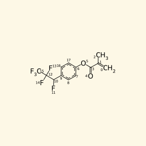 C=C(C)C(=O)Oc1ccc(C(F)C(F)(F)C(F)(F)F)cc1